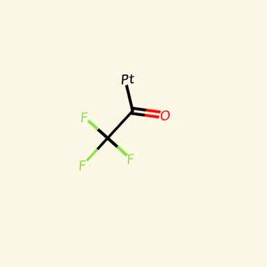 O=[C]([Pt])C(F)(F)F